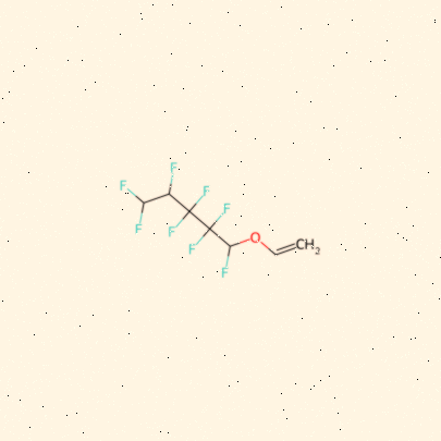 C=COC(F)C(F)(F)C(F)(F)C(F)C(F)F